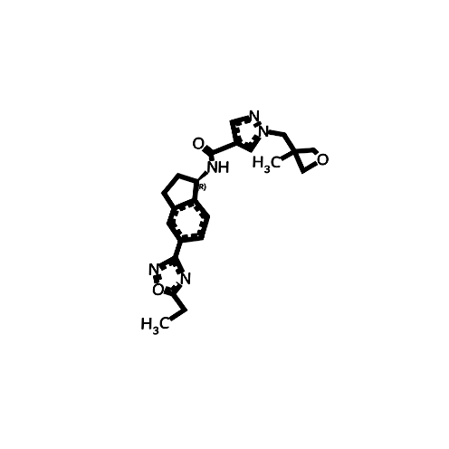 CCc1nc(-c2ccc3c(c2)CC[C@H]3NC(=O)c2cnn(CC3(C)COC3)c2)no1